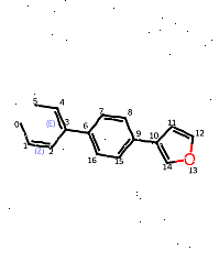 C/C=C\C(=C/C)c1ccc(-c2ccoc2)cc1